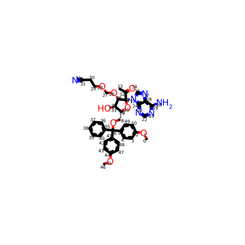 COc1ccc(C(OC[C@H]2O[C@@](C(C)=O)(n3cnc4c(N)ncnc43)[C@H](OCOCCC#N)[C@@H]2O)(c2ccccc2)c2ccc(OC)cc2)cc1